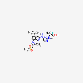 CC(C)c1ccc(N2C[C@H](CS(C)(=O)=O)[C@H]2C)c2cnc(Nc3ccnc(N4CC[C@@H](O)[C@@](C)(F)C4)n3)cc12